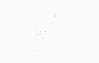 Cc1ccc2c(C3(NC(=O)c4cc(N5CC6CCC(C5)N6C)ccc4C)CC3)cc(-c3ncco3)cc2n1